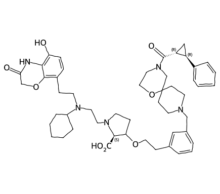 O=C1COc2c(CCN(CCN3CCC(OCCc4cccc(CN5CCC6(CC5)CN(C(=O)[C@@H]5C[C@H]5c5ccccc5)CCO6)c4)[C@H]3C(=O)O)C3CCCCC3)ccc(O)c2N1